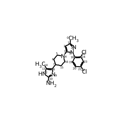 Cc1cc(N2CCC(c3nc(N)[nH]c3C)CC2)n(-c2ccc(Cl)cc2Cl)n1